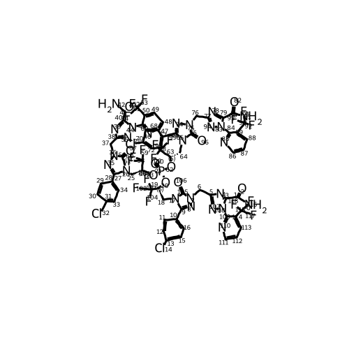 NC(=O)c1nc(Cn2nc(-c3ccc(Cl)cc3)n(C[C@H](OP(=O)(O[C@@H](Cn3c(-c4ccc(Cl)cc4)nn(Cc4nc(C(N)=O)n(-c5ncccc5C(F)(F)F)n4)c3=O)C(F)(F)F)O[C@@H](Cn3c(-c4ccc(Cl)cc4)nn(Cc4nc(C(N)=O)n(-c5ncccc5C(F)(F)F)n4)c3=O)C(F)(F)F)C(F)(F)F)c2=O)nn1-c1ncccc1C(F)(F)F